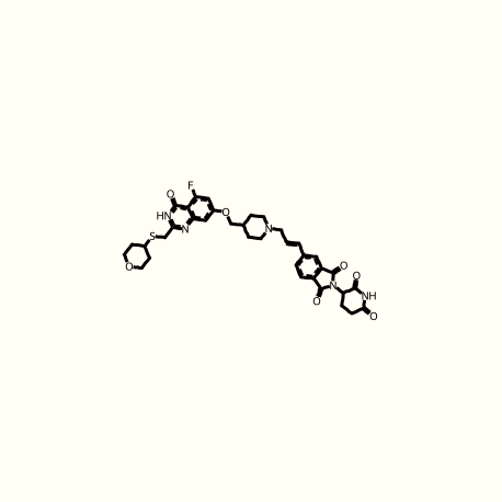 O=C1CCC(N2C(=O)c3ccc(C=CCN4CCC(COc5cc(F)c6c(=O)[nH]c(CSC7CCOCC7)nc6c5)CC4)cc3C2=O)C(=O)N1